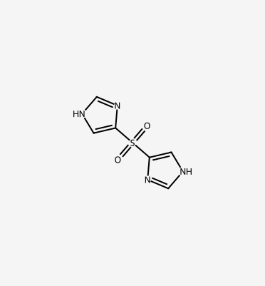 O=S(=O)(c1c[nH]cn1)c1c[nH]cn1